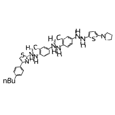 CCCCc1ccc(-c2csc(NNc3ccc(NNc4ccc(NNc5ccc(N6CCCC6)s5)cc4C)cc3C)n2)cc1